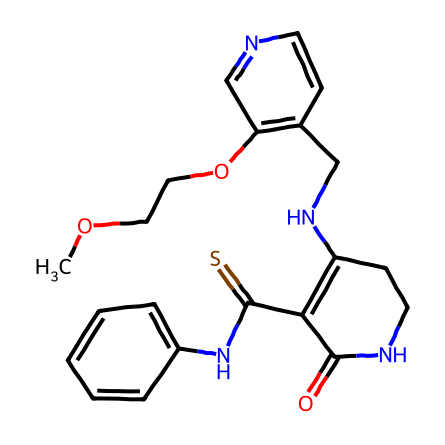 COCCOc1cnccc1CNC1=C(C(=S)Nc2ccccc2)C(=O)NCC1